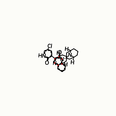 O=c1[nH]cc(Cl)cc1-c1nc2ccccc2n([C@H]2C[C@H]3CCC[C@@H](C2)N3[C@H]2C[C@@H]3CCC[C@@H](C3)C2)c1=O